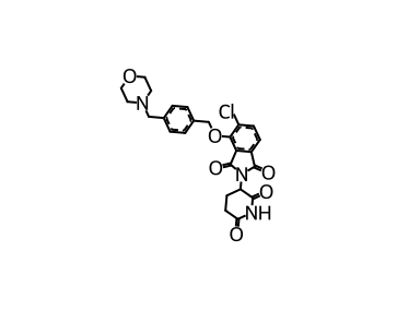 O=C1CCC(N2C(=O)c3ccc(Cl)c(OCc4ccc(CN5CCOCC5)cc4)c3C2=O)C(=O)N1